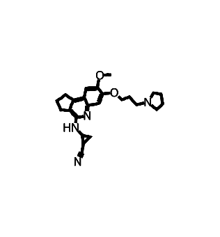 COc1cc2c3c(c(NC4CC4C#N)nc2cc1OCCCN1CCCC1)CCC3